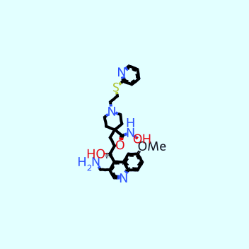 COc1ccc2ncc(CN)c([C@H](O)CCC3(C(=O)NO)CCN(CCSc4ccccn4)CC3)c2c1